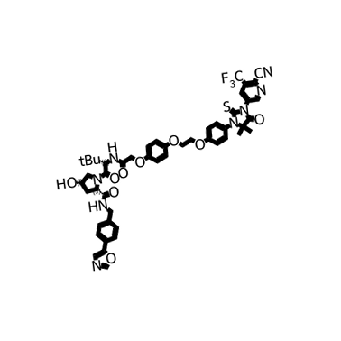 CC(C)(C)[C@H](NC(=O)COc1ccc(OCCOc2ccc(N3C(=S)N(c4cnc(C#N)c(C(F)(F)F)c4)C(=O)C3(C)C)cc2)cc1)C(=O)N1C[C@H](O)C[C@H]1C(=O)NCc1ccc(-c2cnco2)cc1